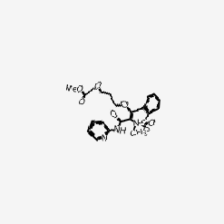 COC(=O)OCCCOC1=C(C(=O)Nc2ccccn2)N(C)S(=O)(=O)c2ccccc21